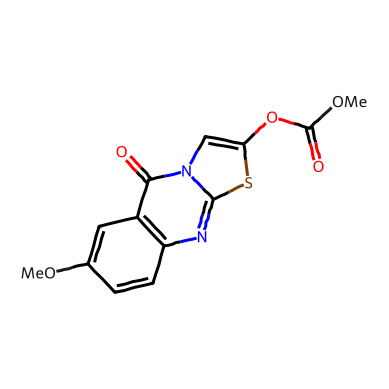 COC(=O)Oc1cn2c(=O)c3cc(OC)ccc3nc2s1